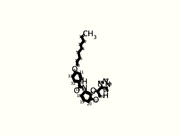 CCCCCCCCCOc1ccc(C(=O)Nc2cccc3c2OC(c2nnn[nH]2)CO3)cc1